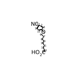 N#Cc1ccc(OCCCCCCCCC(=O)O)cc1